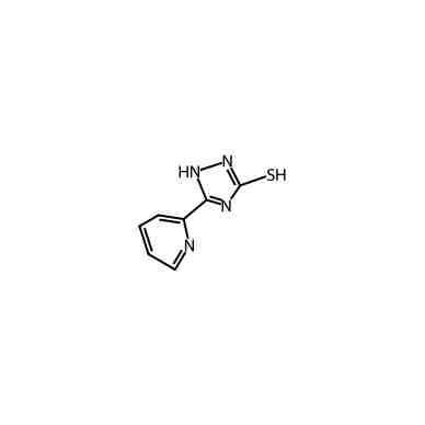 Sc1n[nH]c(-c2ccccn2)n1